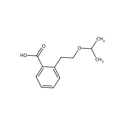 CC(C)OCCc1ccccc1C(=O)O